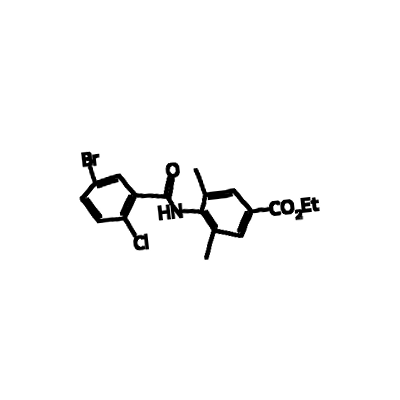 CCOC(=O)c1cc(C)c(NC(=O)c2cc(Br)ccc2Cl)c(C)c1